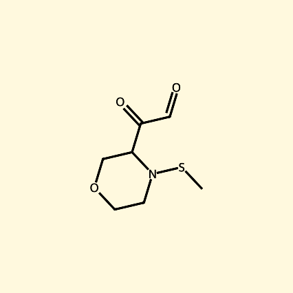 CSN1CCOCC1C(=O)C=O